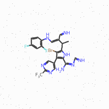 CC(/C(C=N)=C/Nc1ccc(F)cc1F)c1[nH]c(/C(N)=N\C=N)c(-c2cnc(C(F)(F)F)nc2)c1Br